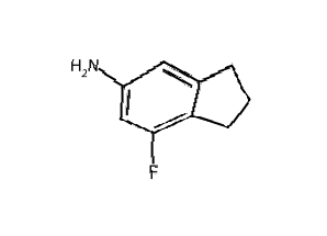 Nc1cc(F)c2c(c1)CCC2